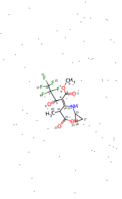 COC(=O)C(C(=O)C(F)(F)C(F)(F)F)=C(NC1CC1)C(C)C(=O)O